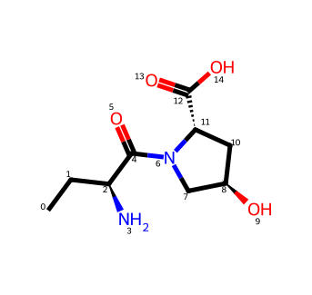 CC[C@H](N)C(=O)N1C[C@H](O)C[C@H]1C(=O)O